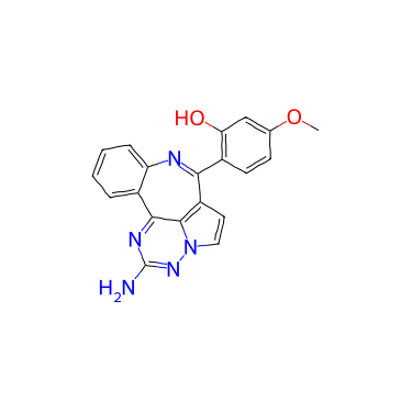 COc1ccc(C2=Nc3ccccc3-c3nc(N)nn4ccc2c34)c(O)c1